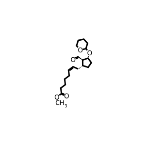 COC(=O)CCCC/C=C\C[C@H]1CC[C@@H](OC2CCCCO2)[C@@H]1C=O